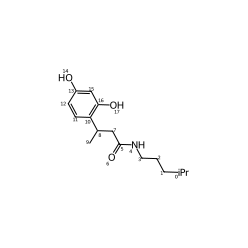 CC(C)CCCNC(=O)CC(C)c1ccc(O)cc1O